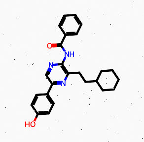 O=C(Nc1ncc(-c2ccc(O)cc2)nc1CCC1CCCCC1)c1ccccc1